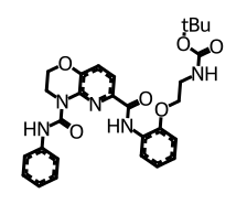 CC(C)(C)OC(=O)NCCOc1ccccc1NC(=O)c1ccc2c(n1)N(C(=O)Nc1ccccc1)CCO2